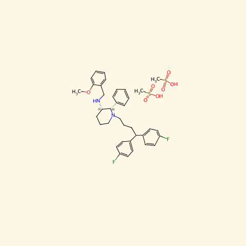 COc1ccccc1CN[C@H]1CCCN(CCCC(c2ccc(F)cc2)c2ccc(F)cc2)[C@H]1c1ccccc1.CS(=O)(=O)O.CS(=O)(=O)O